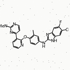 CNc1nccc(-c2cccnc2Oc2ccc(Nc3nc4cc(F)c(Cl)cc4[nH]3)cc2C)n1